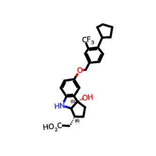 O=C(O)C[C@H]1CC[C@]2(O)c3cc(OCc4ccc(C5CCCC5)c(C(F)(F)F)c4)ccc3NC12